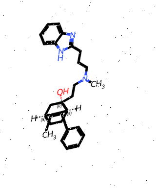 CC1=C(c2ccccc2)[C@@H]2CC[C@H]1C[C@@]2(O)CCN(C)CCCc1nc2ccccc2[nH]1